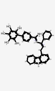 Bc1c(O)c(O)c(O)c(O)c1-c1ccc(/C(N)=N/C(=C\Cc2cccc3sc4c(c23)C=CCC4)C2C=CC=CC2)cc1